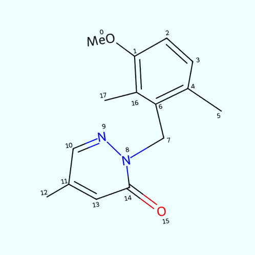 COc1ccc(C)c(Cn2ncc(C)cc2=O)c1C